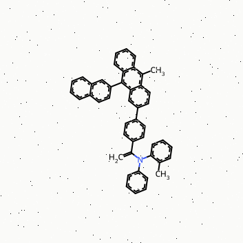 C=C(c1ccc(-c2ccc3c(C)c4ccccc4c(-c4ccc5ccccc5c4)c3c2)cc1)N(c1ccccc1)c1ccccc1C